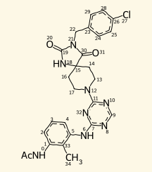 CC(=O)Nc1cccc(Nc2ncnc(N3CCC4(CC3)NC(=O)N(Cc3ccc(Cl)cc3)C4=O)n2)c1C